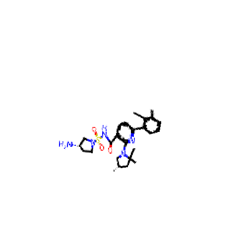 Cc1cccc(-c2ccc(C(=O)NS(=O)(=O)N3CC[C@H](N)C3)c(N3C[C@@H](C)CC3(C)C)n2)c1C